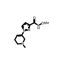 CONC(=O)c1ccn(C2=CCCN(C)C2)n1